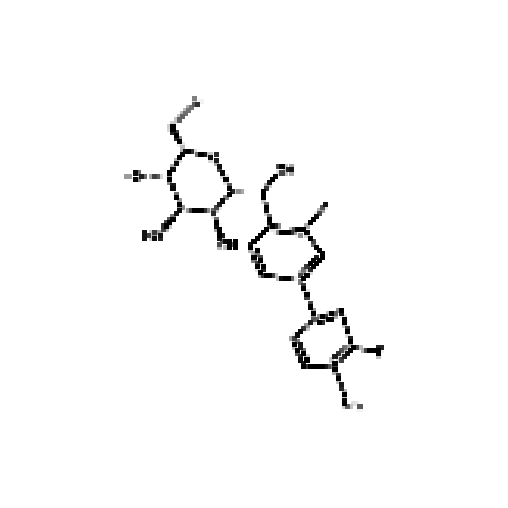 Cc1cc(-c2ccc(C(F)(F)F)c(F)c2)ccc1C(O)[C@H]1O[C@H](CO)[C@@H](O)[C@H](O)[C@@H]1O